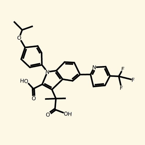 CC(C)Oc1ccc(-n2c(C(=O)O)c(C(C)(C)C(=O)O)c3cc(-c4ccc(C(F)(F)F)cn4)ccc32)cc1